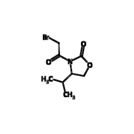 CC(C)C1COC(=O)N1C(=O)CBr